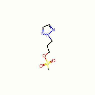 CS(=O)(=O)OCCCn1nccn1